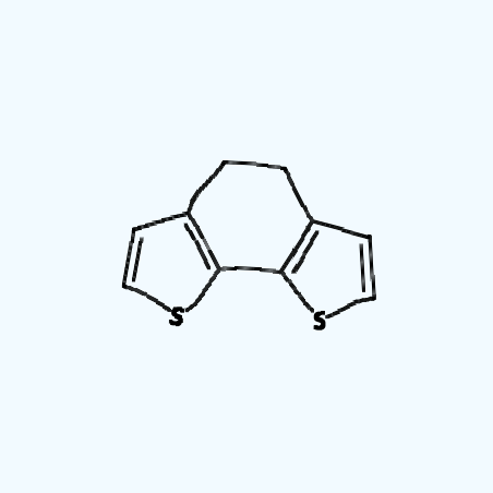 c1cc2c(s1)-c1sccc1CC2